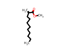 C=C(CCCCCCCCC)C(=O)OC